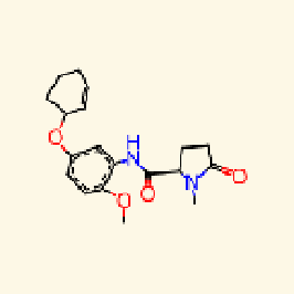 COc1ccc(OC2C=CCCC2)cc1NC(=O)C1CCC(=O)N1C